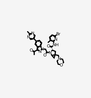 CC(=O)c1nn(CC(=O)N2C3CC3(CN3CCOCC3)C[C@H]2C(=O)Nc2nc(Br)ccc2C)c2ccc(-c3cnc(C)nc3)cc12